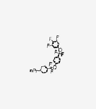 CCCC1CC=C(C(F)(F)Oc2ccc(C(F)(F)Oc3cc(F)c(F)c(F)c3)cc2)CC1